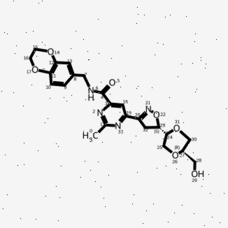 Cc1nc(C(=O)NCc2ccc3c(c2)OCCO3)cc(C2=NO[C@H](C3CO[C@H](CO)CO3)C2)n1